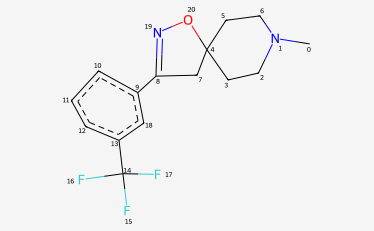 CN1CCC2(CC1)CC(c1cccc(C(F)(F)F)c1)=NO2